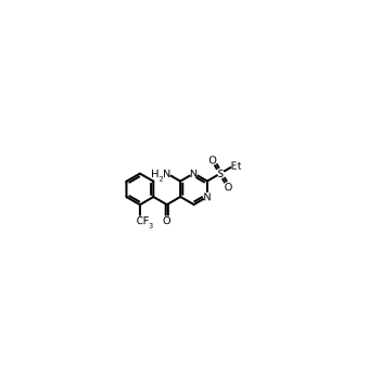 CCS(=O)(=O)c1ncc(C(=O)c2ccccc2C(F)(F)F)c(N)n1